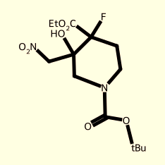 CCOC(=O)C1(F)CCN(C(=O)OC(C)(C)C)CC1(O)C[N+](=O)[O-]